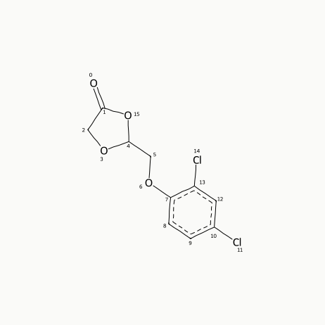 O=C1COC(COc2ccc(Cl)cc2Cl)O1